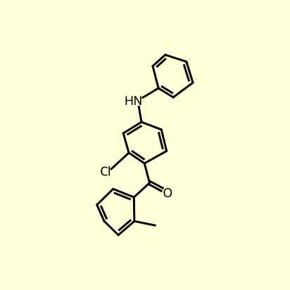 Cc1ccccc1C(=O)c1ccc(Nc2ccccc2)cc1Cl